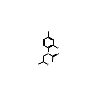 CC(=O)N(CC(F)F)c1ccc(C)cc1Cl